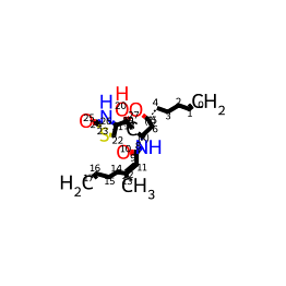 C=CCCC[C@@H]1C[C@@H](NC(=O)C=C(C)CCC=C)C[C@](O)(C2CSC(=O)N2)O1